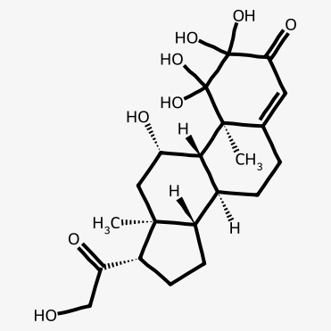 C[C@]12C[C@H](O)[C@H]3[C@@H](CCC4=CC(=O)C(O)(O)C(O)(O)[C@@]43C)[C@@H]1CC[C@@H]2C(=O)CO